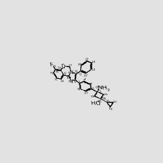 N[C@]1(c2ccc(-c3nc4n(c3-c3ccccc3)COc3c(F)cccc3-4)cc2)C[C@](O)(C2CC2)C1